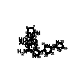 CC(=O)c1c(C2CC3CC[C@H](C2)N3C(=O)[C@@H](C)O)nc2c(-c3ccc(-c4nccs4)nc3)cnn2c1N